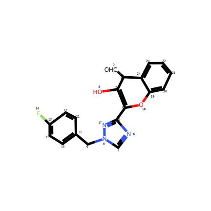 O=CC1C(O)=C(c2ncn(Cc3ccc(F)cc3)n2)Oc2ccccc21